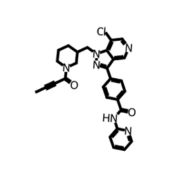 CC#CC(=O)N1CCCC(Cn2nc(-c3ccc(C(=O)Nc4ccccn4)cc3)c3cncc(Cl)c32)C1